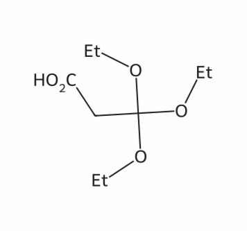 CCOC(CC(=O)O)(OCC)OCC